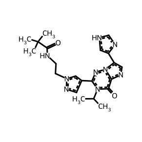 CC(C)n1c(-c2cnn(CCNC(=O)C(C)(C)C)c2)nn2c(-c3c[nH]cn3)cnc2c1=O